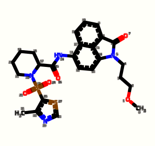 COCCCN1C(=O)c2cccc3c(NC(=O)C4CCCCN4S(=O)(=O)c4scnc4C)ccc1c23